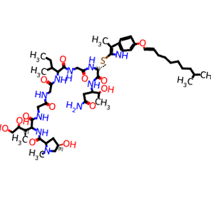 CCC(C)C(NC(=O)CNC(=O)CNC(=O)C(NC(=O)C1C[C@@H](O)CN1C)[C@@H](C)C(O)CO)C(=O)NCC(=O)N[C@H](CSc1[nH]c2cc(OC=CCCCCCCC(C)C)ccc2c1C)C(=O)NC(CC(N)=O)C(C)O